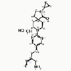 Cl.Cl.NC/C(=C\F)COc1cnc(N2CCC3(CC2)CCN(C2CC2)C3=O)nc1